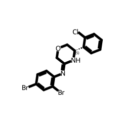 Clc1ccccc1[C@H]1COCC(=Nc2ccc(Br)cc2Br)N1